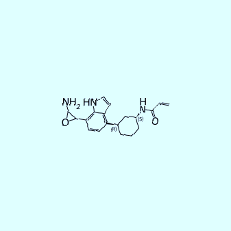 C=CC(=O)N[C@H]1CCC[C@@H](c2ccc(C3OC3N)c3[nH]ccc23)C1